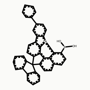 OB(O)c1ccc2ccc3c4c5c(ccc6c7cc(-c8ccccc8)ccc7n(c1c24)c65)C31c2ccccc2-c2ccccc21